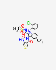 CS(=O)(=O)NC(=O)c1c(-n2c(=O)[nH]c3cscc3c2=O)c2cc(C(F)(F)F)ccc2n1Cc1ccccc1Cl